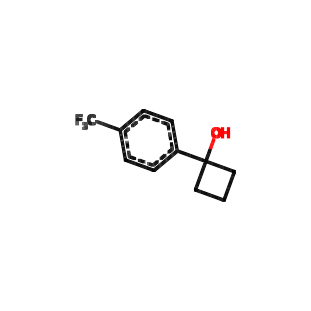 OC1(c2ccc(C(F)(F)F)cc2)CCC1